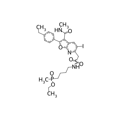 CCOP(C)(=O)CCCCNS(=O)(=O)Cc1nc2oc(-c3ccc(CC)cc3)c(C(=O)NC)c2cc1I